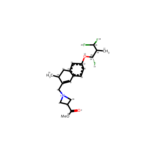 COC(=O)C1CN(CC2=Cc3ccc(O[C@@H](F)C(C)C(F)F)cc3CC2C)C1